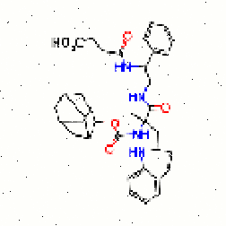 CC(CC1C=Cc2ccccc2N1)(NC(=O)OC1C2CC3CC(C2)CC1C3)C(=O)NCC(NC(=O)CCC(=O)O)c1ccccc1